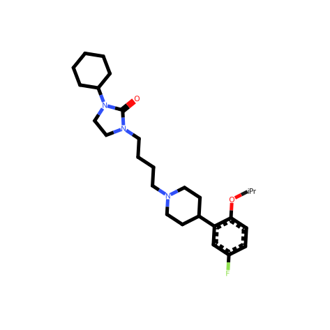 CC(C)Oc1ccc(F)cc1C1CCN(CCCCN2CCN(C3CCCCC3)C2=O)CC1